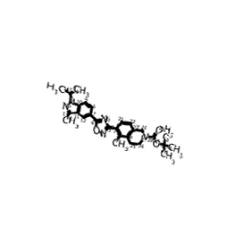 Cc1c(-c2noc(-c3ccc4c(c3)c(C)nn4C(C)C)n2)ccc2c1CCN(C(=O)OC(C)(C)C)C2